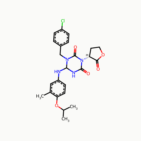 Cc1cc(NC2NC(=O)N([C@@H]3CCOC3=O)C(=O)N2Cc2ccc(Cl)cc2)ccc1OC(C)C